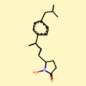 CC(C)Cc1ccc(C(C)CCC2CCC(=O)N2O)cc1